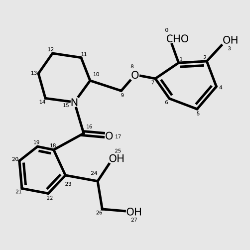 O=Cc1c(O)cccc1OCC1CCCCN1C(=O)c1ccccc1C(O)CO